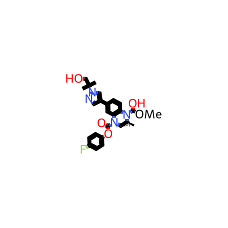 COC(O)N1c2ccc(-c3cnn(C(C)(C)CO)c3)cc2N(C(=O)Oc2ccc(F)cc2)C[C@@H]1C